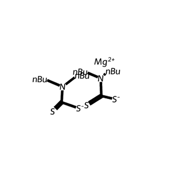 CCCCN(CCCC)C(=S)[S-].CCCCN(CCCC)C(=S)[S-].[Mg+2]